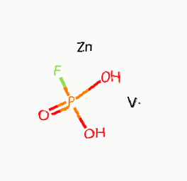 O=P(O)(O)F.[V].[Zn]